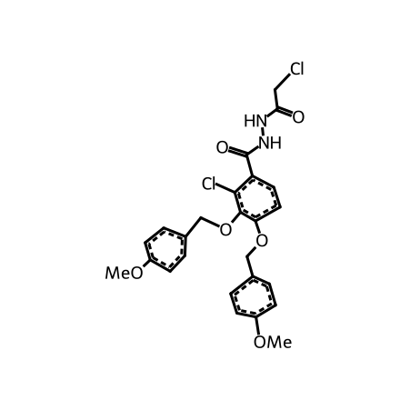 COc1ccc(COc2ccc(C(=O)NNC(=O)CCl)c(Cl)c2OCc2ccc(OC)cc2)cc1